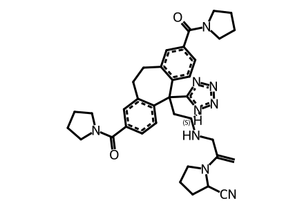 C=C(CN[C@@H](C)CC1(c2nnn[nH]2)c2ccc(C(=O)N3CCCC3)cc2CCc2cc(C(=O)N3CCCC3)ccc21)N1CCCC1C#N